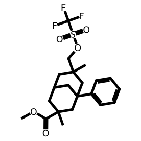 COC(=O)C1(C)CC2CC(C)(COS(=O)(=O)C(F)(F)F)CC(c3ccccc3)(C2)C1